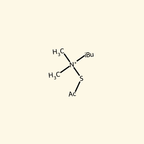 CCC(C)[N+](C)(C)SC(C)=O